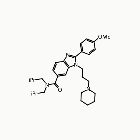 COc1ccc(-c2nc3ccc(C(=O)N(CC(C)C)CC(C)C)cc3n2CCCN2CCCCC2)cc1